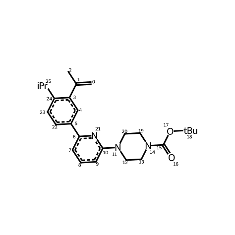 C=C(C)c1cc(-c2cccc(N3CCN(C(=O)OC(C)(C)C)CC3)n2)ccc1C(C)C